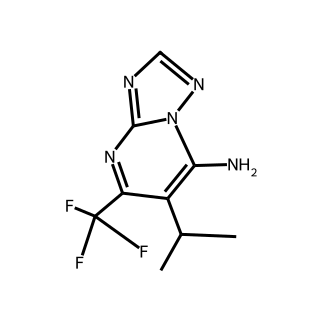 CC(C)c1c(C(F)(F)F)nc2ncnn2c1N